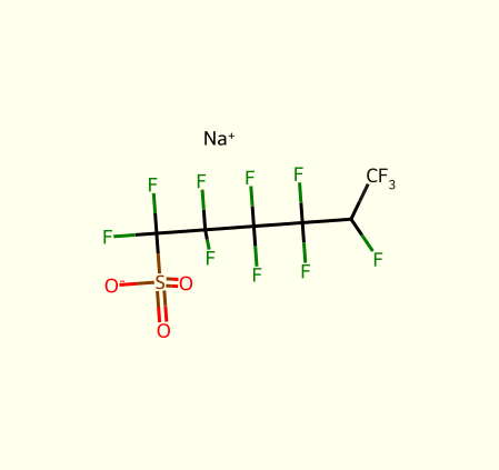 O=S(=O)([O-])C(F)(F)C(F)(F)C(F)(F)C(F)(F)C(F)C(F)(F)F.[Na+]